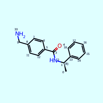 C[C@@H](NC(=O)c1ccc(CN)cc1)c1ccccc1